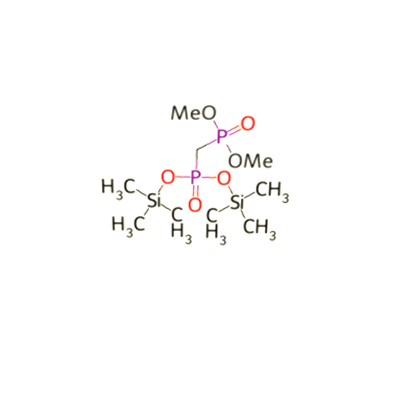 COP(=O)(CP(=O)(O[Si](C)(C)C)O[Si](C)(C)C)OC